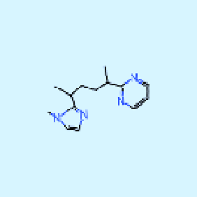 CC(CCC(C)c1nccn1C)c1ncccn1